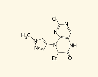 CCC1C(=O)Nc2cnc(Cl)nc2N1c1cnn(C)c1